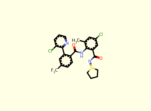 Cc1cc(Cl)cc(C(=O)N=S2CCCC2)c1NC(=O)c1ccc(C(F)(F)F)cc1-c1ncccc1Cl